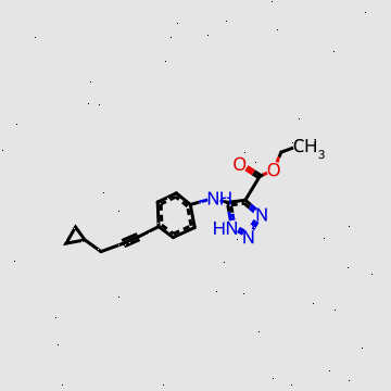 CCOC(=O)c1nn[nH]c1Nc1ccc(C#CCC2CC2)cc1